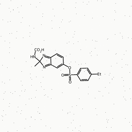 CCc1ccc(S(=O)(=O)Oc2ccc3c(c2)=NC(C)(NC(=O)O)N=3)cc1